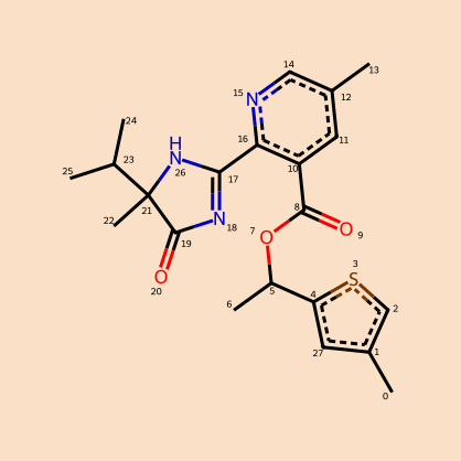 Cc1csc(C(C)OC(=O)c2cc(C)cnc2C2=NC(=O)C(C)(C(C)C)N2)c1